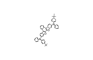 CC(C)(C)c1ccc(N(c2ccccc2)c2ccc3c(c2)oc2c4c(c5ccccc5c23)C2C=CC(N(C3=CCC(C(C)(C)C)C=C3)c3ccccc3)=CC2O4)cc1